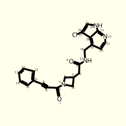 O=C(CC1CN(C(=O)C#Cc2ccccc2)C1)NCc1ccnc2[nH]cc(Cl)c12